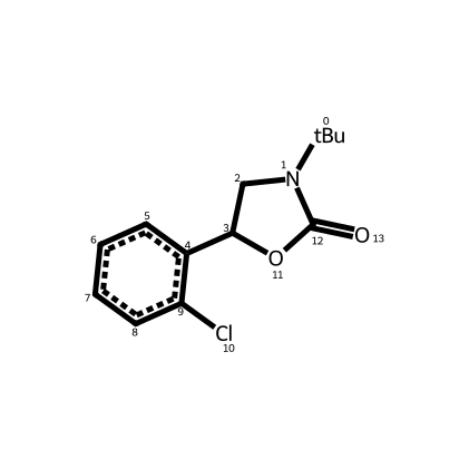 CC(C)(C)N1CC(c2ccccc2Cl)OC1=O